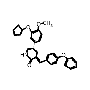 COc1ccc([C@H]2CNC(=O)C(=Cc3ccc(Oc4ccccc4)cc3)C2)cc1OC1CCCC1